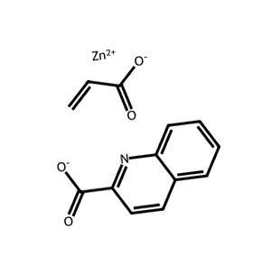 C=CC(=O)[O-].O=C([O-])c1ccc2ccccc2n1.[Zn+2]